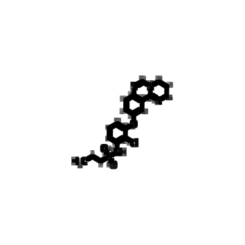 CCCS(=O)(=O)Nc1cccc(Oc2ccc3c(c2)C2=NCCCN2C=N3)c1Cl